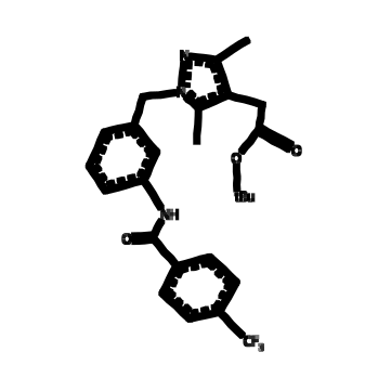 Cc1nn(Cc2cccc(NC(=O)c3ccc(C(F)(F)F)cc3)c2)c(C)c1CC(=O)OC(C)(C)C